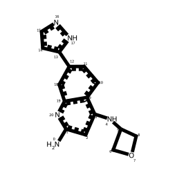 Nc1cc(NC2COC2)c2ccc(-c3ccn[nH]3)cc2n1